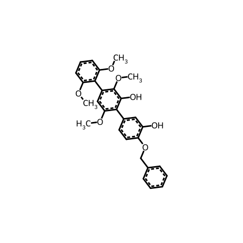 COc1cccc(OC)c1-c1cc(OC)c(-c2ccc(OCc3ccccc3)c(O)c2)c(O)c1OC